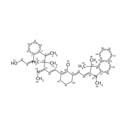 C=C(c1ccccc1/C=C\CO)C(C)(C)C(/C=C/C1=C(Cl)C(=C/C=C2/N(C)c3ccc4ccccc4c3C2(C)C)/CCC1)=N/C